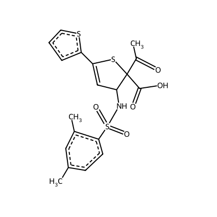 CC(=O)C1(C(=O)O)SC(c2cccs2)=CC1NS(=O)(=O)c1ccc(C)cc1C